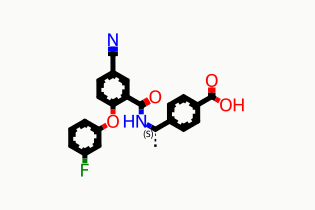 C[C@H](NC(=O)c1cc(C#N)ccc1Oc1cccc(F)c1)c1ccc(C(=O)O)cc1